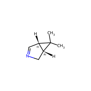 CC1(C)[C@@H]2CN=C[C@@H]21